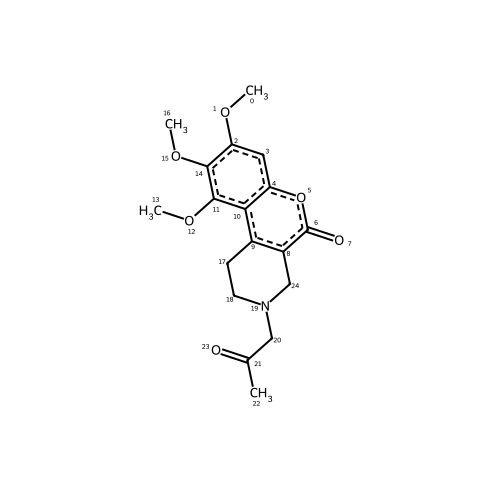 COc1cc2oc(=O)c3c(c2c(OC)c1OC)CCN(CC(C)=O)C3